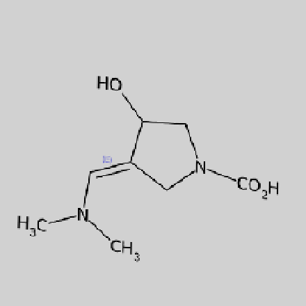 CN(C)/C=C1\CN(C(=O)O)CC1O